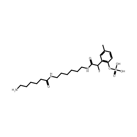 Cc1ccc(OP(=O)(O)O)c(C(F)C(=O)NCCCCCCNC(=O)CCCCCN)c1